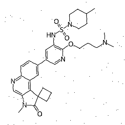 CC1CCN(S(=O)(=O)Nc2cc(-c3ccc4ncc5c(c4c3)C3(CCC3)C(=O)N5C)cnc2OCCCN(C)C)CC1